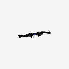 C=CC(=O)OCCCCOc1ccc(C(=O)Oc2ccc(/C=N/N=C/c3ccc(OC(=O)c4ccc(OCCCCOC(=O)C=C)cc4)c(OCC)c3)cc2OCC)cc1